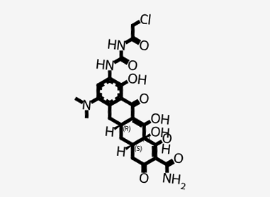 CN(C)c1cc(NC(=O)NC(=O)CCl)c(O)c2c1C[C@H]1C[C@H]3CC(=O)C(C(N)=O)=C(O)[C@@]3(O)C(O)=C1C2=O